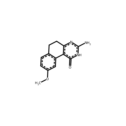 COc1ccc2c(c1)-c1c(nc(N)[nH]c1=O)CC2